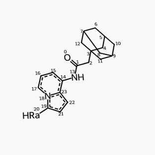 O=C(CC12CC3CC(CC(C3)C1)C2)Nc1cccn2[c]([RaH])ccc12